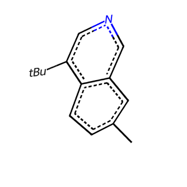 Cc1ccc2c(C(C)(C)C)cncc2c1